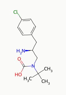 CC(C)(C)N(C[C@@H](N)Cc1ccc(Cl)cc1)C(=O)O